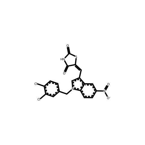 O=C1NC(=O)/C(=C\c2cn(Cc3ccc(Cl)c(Cl)c3)c3ccc([N+](=O)[O-])cc23)S1